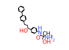 CC(N)(CO)C(=O)Nc1ccc(C(O)CCc2ccc(-c3ccccc3)cc2)cc1